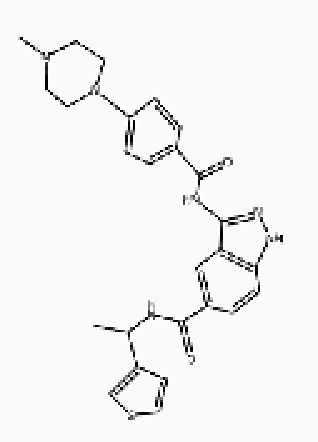 CC(NC(=O)c1ccc2[nH]nc(NC(=O)c3ccc(N4CCN(C)CC4)cc3)c2c1)c1ccsc1